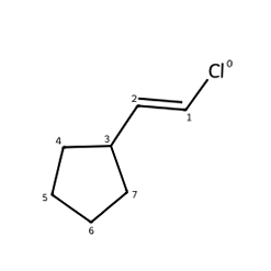 ClC=CC1CCCC1